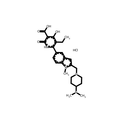 CCc1c(-c2ccc3c(c2)cc(CN2CCC(N(C)C)CC2)n3C)[nH]c(=O)c(C(=O)O)c1O.Cl